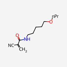 C=C(C#N)C(=O)NCCCCCOCCC